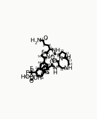 NC(=O)CCC(NC(=O)[C@@H]1CC[C@@H]2CCNC[C@H](NC(=O)c3cc4cc(C(F)(F)P(=O)(O)O)ccc4s3)C(=O)N21)c1nc(-c2ccc(F)cc2)cs1